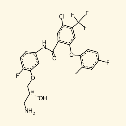 Cc1cc(F)ccc1Oc1cc(C(F)(F)F)c(Cl)cc1C(=O)Nc1ccc(F)c(OC[C@H](O)CN)c1